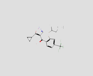 CCC(C)Sc1cc(C(F)(F)F)ccc1C(=O)c1cnoc1C1CC1